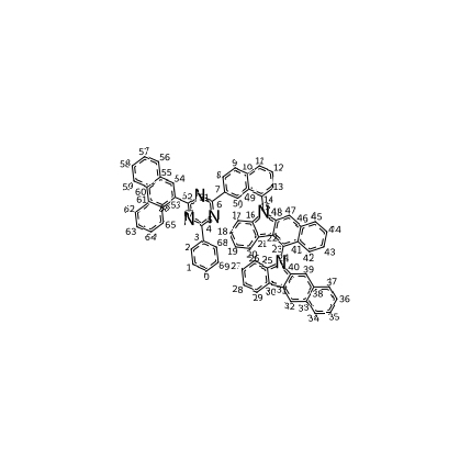 c1ccc(-c2nc(-c3ccc4cccc(-n5c6ccccc6c6c(-n7c8ccccc8c8cc9ccccc9cc87)c7ccccc7cc65)c4c3)nc(-c3cc4ccccc4c4ccccc34)n2)cc1